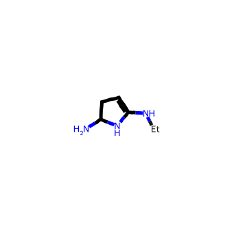 CCNC1=CCC(N)N1